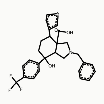 O=C(O)C12CN(Cc3ccccc3)CC1C(O)(c1ccc(C(F)(F)F)cc1)CCC2c1ccsc1